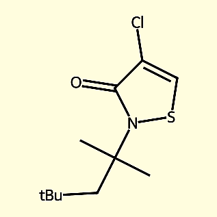 CC(C)(C)CC(C)(C)n1scc(Cl)c1=O